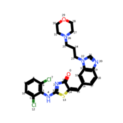 O=C1N=C(Nc2c(Cl)cccc2Cl)SC1=Cc1ccc2ncn(CCCN3CCOCC3)c2c1